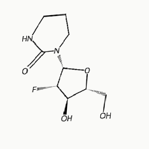 O=C1NCCCN1[C@@H]1O[C@H](CO)[C@@H](O)[C@@H]1F